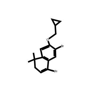 CC(C)C1=CCC(C)(C)c2cc(OCC3CC3)c(Br)cc21